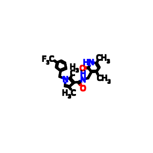 Cc1cc(C)c(CNC(=O)c2c(C)cn(Cc3cccc(C(F)(F)F)c3)c2C)c(=O)[nH]1